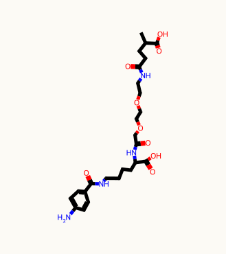 CC(CCC(=O)NCCOCCOCC(=O)NC(CCCCNC(=O)c1ccc(N)cc1)C(=O)O)C(=O)O